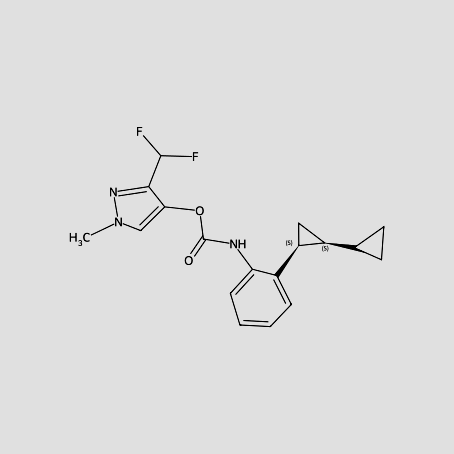 Cn1cc(OC(=O)Nc2ccccc2[C@H]2C[C@H]2C2CC2)c(C(F)F)n1